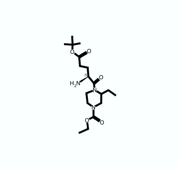 CCOC(=O)N1CCN(C(=O)[C@@H](N)CCC(=O)OC(C)(C)C)C(CC)C1